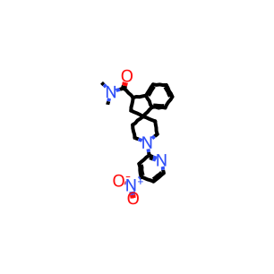 CN(C)C(=O)C1CC2(CCN(c3cc([N+](=O)[O-])ccn3)CC2)c2ccccc21